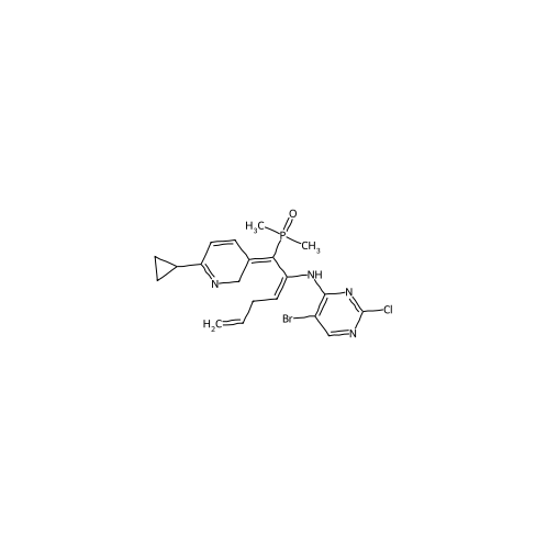 C=CC/C=C(Nc1nc(Cl)ncc1Br)\C(=C1\C=CC(C2CC2)=NC1)P(C)(C)=O